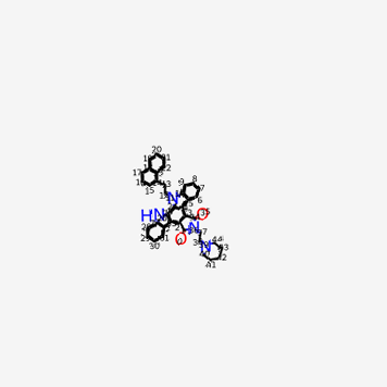 O=C1c2c(c3c4ccccc4n(CCc4cccc5ccccc45)c3c3[nH]c4ccccc4c23)C(=O)N1CCN1CCCCC1